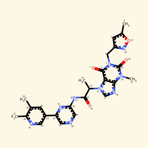 Cc1cc(Cn2c(=O)c3c(ncn3C(C)C(=O)Nc3cncc(-c4cnc(C(F)(F)F)c(C)c4)n3)n(C)c2=O)no1